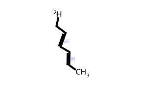 [2H]C/C=C/C=C/C